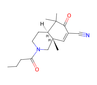 CCCC(=O)N1CC[C@H]2C(C)(C)C(=O)C(C#N)=C[C@]2(C)C1